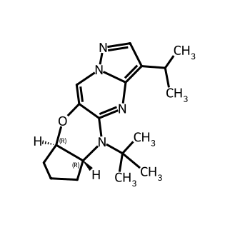 CC(C)c1cnn2cc3c(nc12)N(C(C)(C)C)[C@@H]1CCC[C@H]1O3